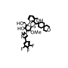 CO[C@@H]1[C@@H](n2cc(-c3cc(F)c(F)c(F)c3)nn2)[C@@H](O)[C@@H](CO)O[C@H]1S[C@H](c1ncccc1C)C1(O)CCC2(CCOCC2)CC1